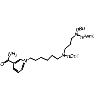 CCCCCCCCCCN(CCCCCC[n+]1cccc(C(N)=O)c1)CCCN(CCCC)CCCCC